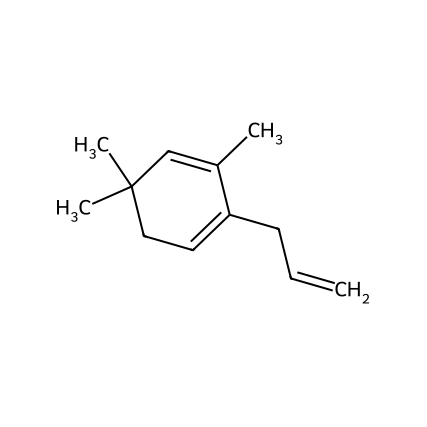 C=CCC1=CCC(C)(C)C=C1C